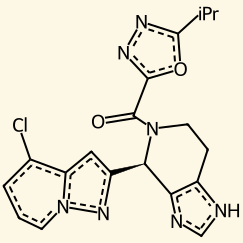 CC(C)c1nnc(C(=O)N2CCc3[nH]cnc3[C@H]2c2cc3c(Cl)cccn3n2)o1